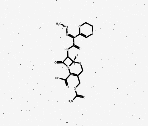 CON=C(C(=O)NC1C(=O)N2C(C(=O)O)=C(COC(N)=O)CS[C@@H]12)C1=CSCCO1